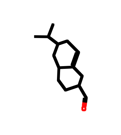 CC(C)C1CC=C2CC(C=O)CCC2C1